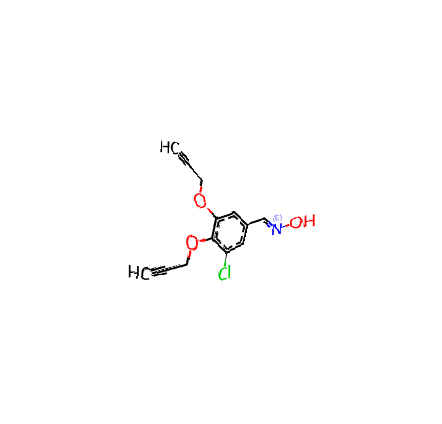 C#CCOc1cc(/C=N/O)cc(Cl)c1OCC#C